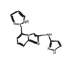 C1=CNN(c2cccc3nc(Nc4cc[nH]n4)cn23)N=C1